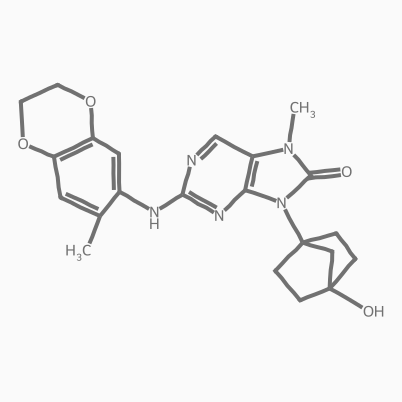 Cc1cc2c(cc1Nc1ncc3c(n1)n(C14CCC(O)(CC1)C4)c(=O)n3C)OCCO2